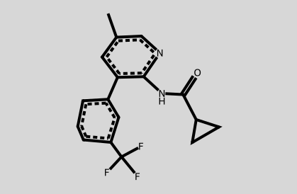 Cc1cnc(NC(=O)C2CC2)c(-c2cccc(C(F)(F)F)c2)c1